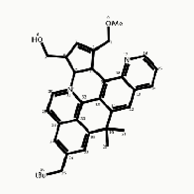 COCC1=CC(CO)C2C1c1c3c(cc4cccnc14)C(C)(C)c1cc(CC(C)(C)C)cc4cc[n+]2c-3c14